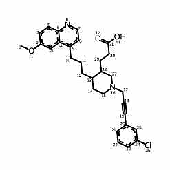 COc1ccc2nccc(CCCC3CCN(CC#Cc4cccc(Cl)c4)CC3CCC(=O)O)c2c1